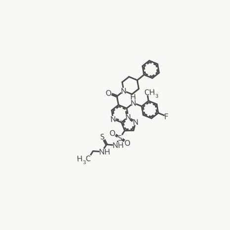 CCNC(=S)NS(=O)(=O)c1cnn2c(Nc3ccc(F)cc3C)c(C(=O)N3CCC(c4ccccc4)CC3)cnc12